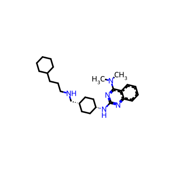 CN(C)c1nc(N[C@H]2CC[C@@H](CNCCCC3CCCCC3)CC2)nc2ccccc12